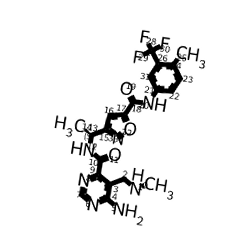 CNCc1c(N)ncnc1C(=O)N[C@@H](C)c1cc(C(=O)Nc2ccc(C)c(C(F)(F)F)c2)on1